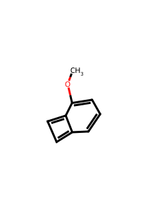 COc1cccc2c1=CC=2